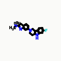 CCCCN(C)C1=Nc2cc(N3CCc4[nH]c5cc(F)ccc5c4C3)ccc2C1